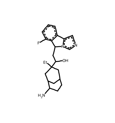 CCC1(C(O)CC2c3c(F)cccc3-c3cncn32)CC2CCC(N)C(C2)C1